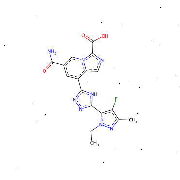 CCn1nc(C)c(F)c1-c1nnc(-c2cc(C(N)=O)cn3c(C(=O)O)ncc23)[nH]1